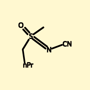 CCCCS(C)(=O)=NC#N